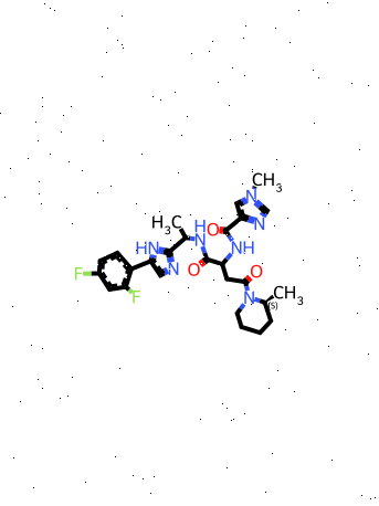 CC(NC(=O)C(CC(=O)N1CCCC[C@@H]1C)NC(=O)c1cn(C)cn1)c1ncc(-c2ccc(F)cc2F)[nH]1